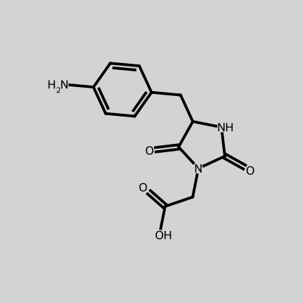 Nc1ccc(CC2NC(=O)N(CC(=O)O)C2=O)cc1